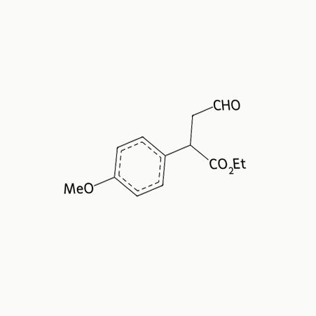 CCOC(=O)C(CC=O)c1ccc(OC)cc1